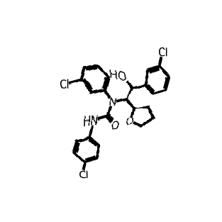 O=C(Nc1ccc(Cl)cc1)N(c1cccc(Cl)c1)[C@@H](C(O)c1cccc(Cl)c1)[C@H]1CCCO1